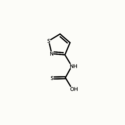 OC(=S)Nc1ccsn1